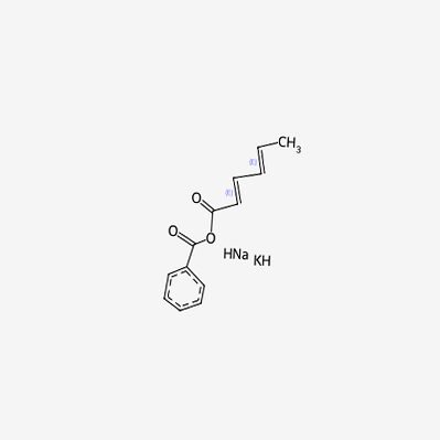 C/C=C/C=C/C(=O)OC(=O)c1ccccc1.[KH].[NaH]